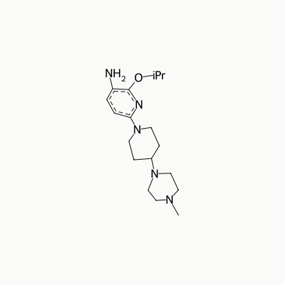 CC(C)Oc1nc(N2CCC(N3CCN(C)CC3)CC2)ccc1N